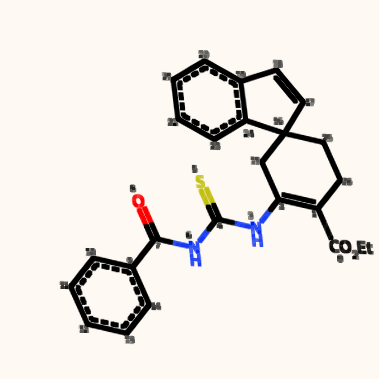 CCOC(=O)C1=C(NC(=S)NC(=O)c2ccccc2)CC2(C=Cc3ccccc32)CC1